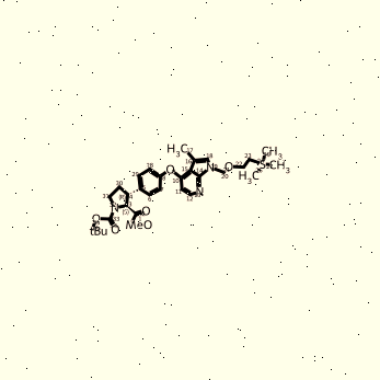 COC(=O)[C@@H]1[C@@H](c2ccc(Oc3ccnc4c3c(C)cn4COCCS(C)(C)C)cc2)CCN1C(=O)OC(C)(C)C